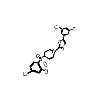 O=S(=O)(c1ccc(Cl)cc1Cl)C1CCN(c2nc(-c3cc(F)cc(Cl)c3)cs2)CC1